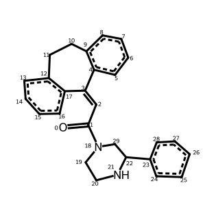 O=C(C=C1c2ccccc2CCc2ccccc21)N1CCNC(c2ccccc2)C1